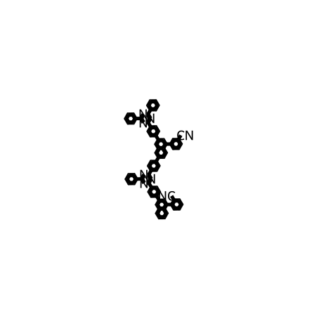 N#Cc1cccc(-c2cc(-c3ccc(-c4nc(-c5ccccc5)nc(-c5ccccc5)n4)cc3)cc3cc(-c4ccc(-c5nc(-c6ccccc6)nc(-c6ccc(-c7cc(-c8ccccc8C#N)c8ccccc8c7)cc6)n5)cc4)ccc23)c1